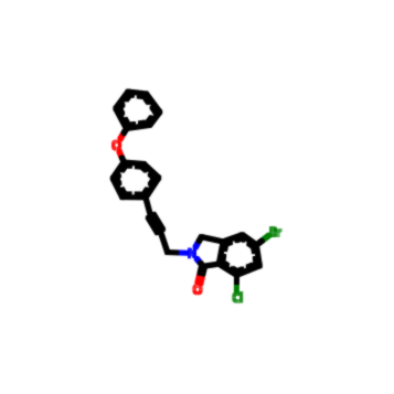 O=C1c2c(Cl)cc(Br)cc2CN1CC#Cc1ccc(Oc2ccccc2)cc1